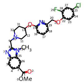 COC(=O)c1ccc2nc(CN3CCC(Oc4cccc(COc5ccc(Cl)cc5F)n4)CC3)n(C)c2c1